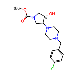 CC(C)(C)OC(=O)N1CC(N2CCN(Cc3ccc(Cl)cc3)CC2)[C@@H](O)C1